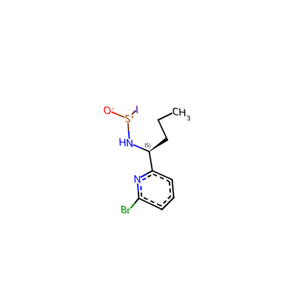 CCC[C@H](N[S+]([O-])I)c1cccc(Br)n1